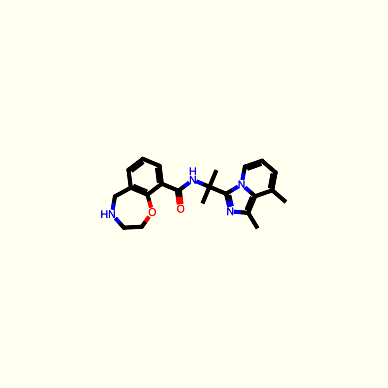 Cc1cccn2c(C(C)(C)NC(=O)c3cccc4c3OCCNC4)nc(C)c12